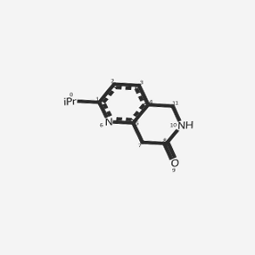 CC(C)c1ccc2c(n1)CC(=O)NC2